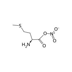 CSCC[C@H](N)C(=O)O[N+](=O)[O-]